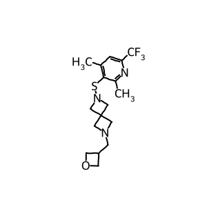 Cc1cc(C(F)(F)F)nc(C)c1SN1CC2(CN(CC3COC3)C2)C1